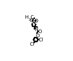 C=CS(=O)(=O)N1CCC2(CN(C(=O)COc3ccc(Cl)cc3Cl)C2)C1